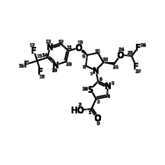 O=C(O)c1cnc(N2C[C@@H](Oc3cnc(C(F)(F)F)nc3)C[C@H]2COC(F)F)s1